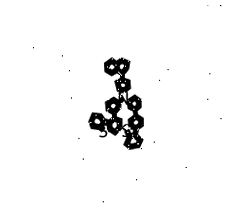 c1cc(-c2ccc3c(c2)sc2ccccc23)cc(N(c2ccc(-c3cccc4ccccc34)cc2)c2cccc(-c3cccc4sc5ccccc5c34)c2)c1